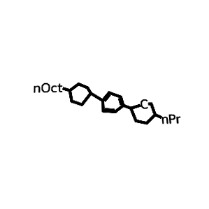 CCCCCCCCC1CCC(c2ccc(C3CCC(CCC)CC3)cc2)CC1